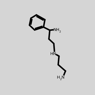 NCCCNCCC(N)c1ccccc1